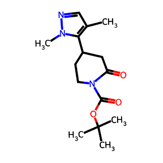 Cc1cnn(C)c1C1CCN(C(=O)OC(C)(C)C)C(=O)C1